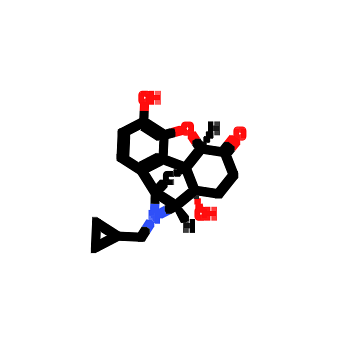 O=C1CC[C@@]2(O)[C@@H]3N(CC4CC4)C34C[C@@]23c2c4ccc(O)c2O[C@@H]13